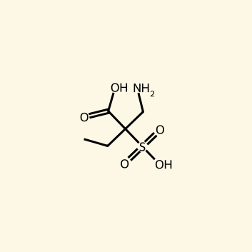 CCC(CN)(C(=O)O)S(=O)(=O)O